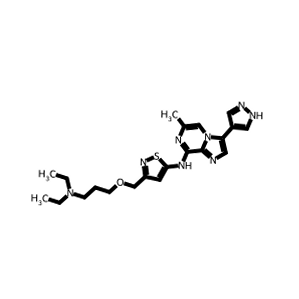 CCN(CC)CCCOCc1cc(Nc2nc(C)cn3c(-c4cn[nH]c4)cnc23)sn1